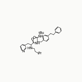 CC(C)CCNC(Cc1cccnc1)C(=O)NC(Cc1ccc(CCc2ccccc2)cc1)C(=O)NC(C)(C)C